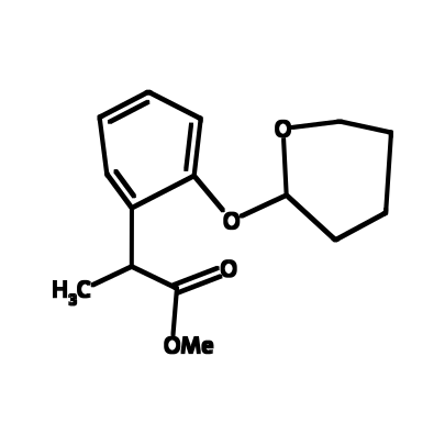 COC(=O)C(C)c1ccccc1OC1CCCCO1